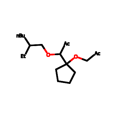 CCCCC(CC)COC(C(C)=O)C1(OCC(C)=O)CCCC1